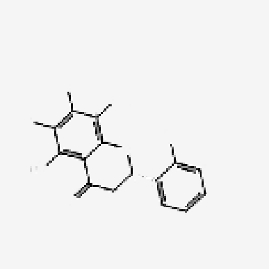 Cc1c(O)c(C)c2c(c1O)C(=O)C[C@@H](c1ccccc1O)O2